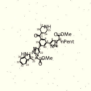 CCCCC[C@@H](C(=O)OC)n1cc(-c2cc(C(=O)C3CCNCC3)cc(-c3cn([C@@H](Cc4c[nH]c5ccccc45)C(=O)OC)nn3)c2)nn1